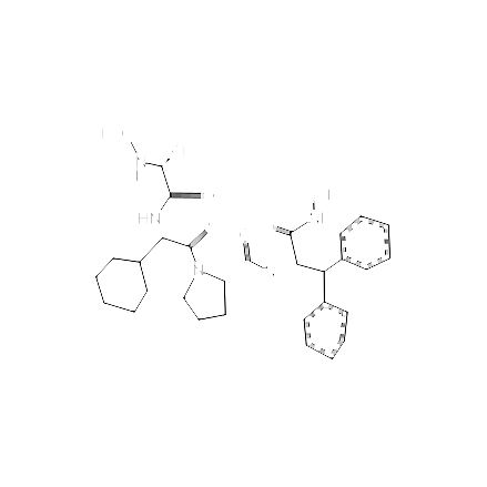 CNC(=O)[C@@H](NC(=O)[C@@H]1CCCN1C(=O)[C@@H](NC(=O)[C@H](C)NC)C1CCCCC1)C(c1ccccc1)c1ccccc1